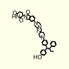 CC/C(=C(\c1ccc(O)cc1)c1ccc(N2CCC(F)(CN3CCN(c4ccc5c(c4)CN(C4CCC(=O)NC4=O)C5=O)CC3)CC2)cc1)c1ccccc1